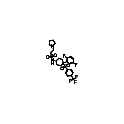 O=S(=O)(CCN1CCCC1)N[C@H]1CC[C@@](c2cc(F)ccc2F)(S(=O)(=O)c2ccc(C(F)(F)F)cc2)CC1